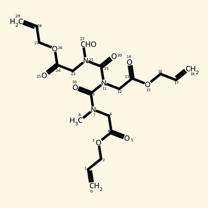 C=CCOC(=O)CN(C)C(=O)N(CC(=O)OCC=C)C(=O)N(C=O)CC(=O)OCC=C